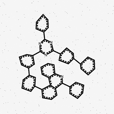 c1ccc(-c2ccc(-c3nc(-c4ccccc4)nc(-c4cccc(-c5cccc(-c6cccc7c(-c8ccccc8)nc8ccccc8c67)c5)c4)n3)cc2)cc1